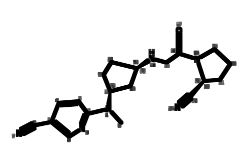 CN(c1ccc(C#N)cn1)[C@H]1CC[C@@H](NCC(=O)N2CCC[C@H]2C#N)C1